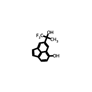 CC(O)(c1cc2c3c(ccc(O)c3c1)C=C2)C(F)(F)F